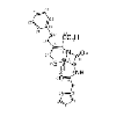 O=C(Cc1cccs1)NC1C(=O)N2C(C(=O)O)=C(CSc3ccccc3)CS[C@@H]12